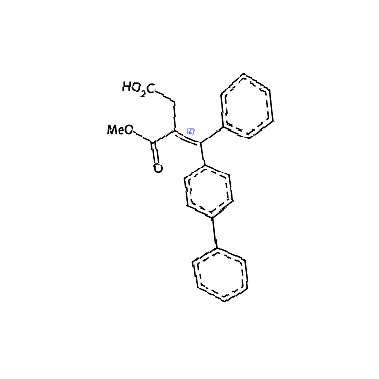 COC(=O)/C(CC(=O)O)=C(/c1ccccc1)c1ccc(-c2ccccc2)cc1